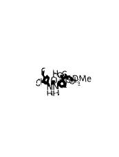 COC(=O)CC(C)(C)C(=O)c1cccc(NC(=O)Nc2ccc(CF)c(Cl)c2)c1